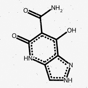 NC(=O)c1c(O)c2n[nH]cc2[nH]c1=O